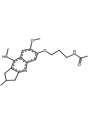 CNc1c2c(nc3cc(OCCCNC(C)=O)c(OC)cc13)CC(C)C2